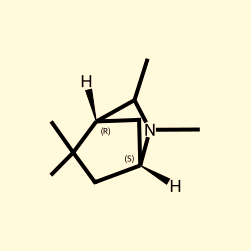 CC1[C@@H]2C[C@@H](CC2(C)C)N1C